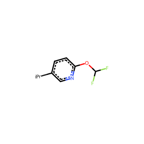 CC(C)c1ccc(OC(F)F)nc1